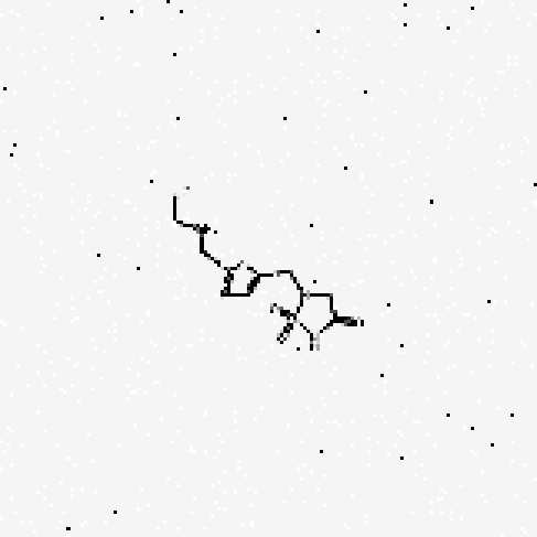 CC(C)CNCc1ccc(CN2CC(=O)NS2(=O)=O)s1